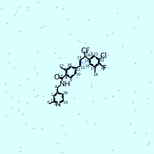 Cc1cc(CNC(=O)c2ccc(/C=C/C(c3cc(C)c(F)c(Cl)c3)C(F)(F)F)cc2C)ccn1